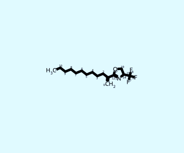 C=C(CCCCCCCCCC)C1=NC(C(F)(F)F)CO1